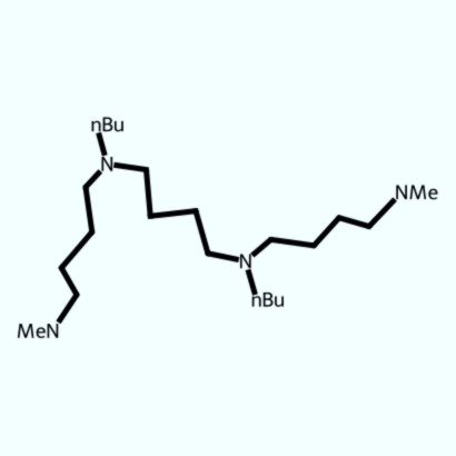 CCCCN(CCCCNC)CCCCN(CCCC)CCCCNC